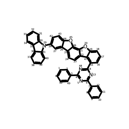 c1ccc(-c2nc(-c3ccccc3)nc(-c3cccc4oc5c(ccc6c7cc(-n8c9ccccc9c9ccccc98)ccc7oc65)c34)n2)cc1